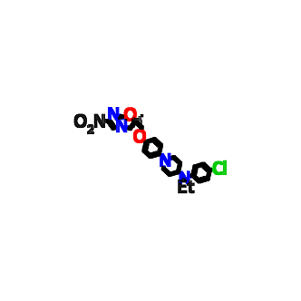 CCN(c1ccc(Cl)cc1)C1CCN(c2ccc(OC[C@@]3(C)Cn4cc([N+](=O)[O-])nc4O3)cc2)CC1